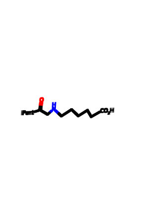 CCCC(C)C(=O)CNCCCCCC(=O)O